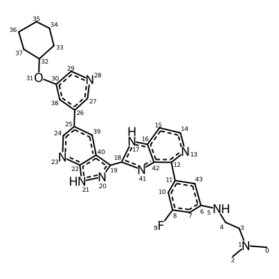 CN(C)CCNc1cc(F)cc(-c2nccc3[nH]c(-c4n[nH]c5ncc(-c6cncc(OC7CCCCC7)c6)cc45)nc23)c1